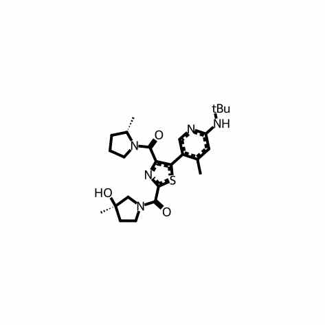 Cc1cc(NC(C)(C)C)ncc1-c1sc(C(=O)N2CC[C@@](C)(O)C2)nc1C(=O)N1CCC[C@@H]1C